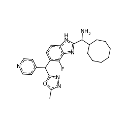 Cc1nnc(C(c2ccncc2)c2ccc3[nH]c(C(N)C4CCCCCCC4)nc3c2F)o1